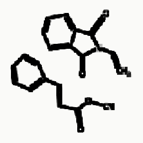 C=CN1C(=O)c2ccccc2C1=O.N#COC(=O)C=Cc1ccccc1